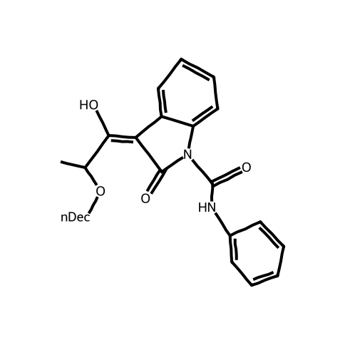 CCCCCCCCCCOC(C)C(O)=C1C(=O)N(C(=O)Nc2ccccc2)c2ccccc21